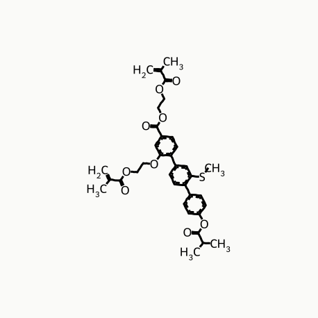 C=C(C)C(=O)OCCOC(=O)c1ccc(-c2ccc(-c3ccc(OC(=O)C(C)C)cc3)c(SC)c2)c(OCCOC(=O)C(=C)C)c1